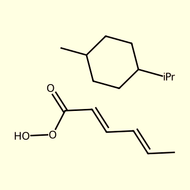 CC1CCC(C(C)C)CC1.CC=CC=CC(=O)OO